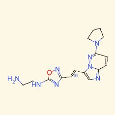 NCCNc1nc(/C=C/c2cnc3ccc(N4CCCC4)nn23)no1